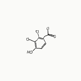 O=C(Cl)c1ccc(O)c(Cl)c1Cl